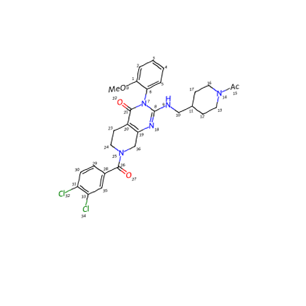 COc1ccccc1-n1c(NCC2CCN(C(C)=O)CC2)nc2c(c1=O)CCN(C(=O)c1ccc(Cl)c(Cl)c1)C2